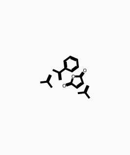 C=C(C)C.C=C(C)C.C=C(C)c1ccccc1.O=C1C=CC(=O)O1